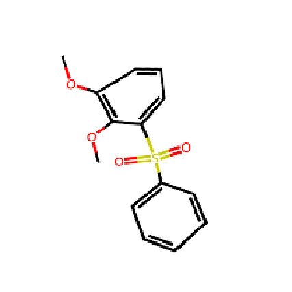 COc1cccc(S(=O)(=O)c2ccccc2)c1OC